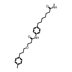 CNC(=O)CCCCCCc1ccc(NC(=O)CCOCCCc2ccc(C)cc2)cc1